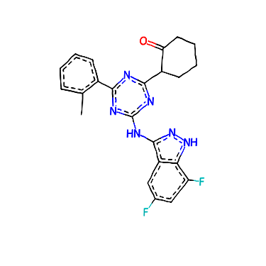 Cc1ccccc1-c1nc(Nc2n[nH]c3c(F)cc(F)cc23)nc(C2CCCCC2=O)n1